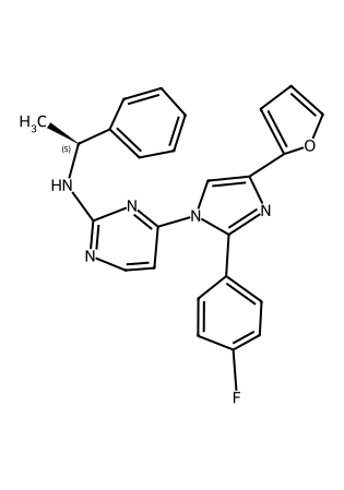 C[C@H](Nc1nccc(-n2cc(-c3ccco3)nc2-c2ccc(F)cc2)n1)c1ccccc1